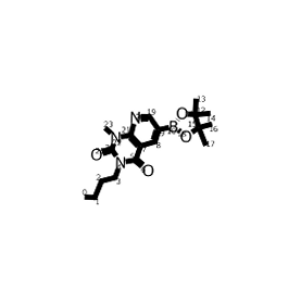 CCCCn1c(=O)c2cc(B3OC(C)(C)C(C)(C)O3)cnc2n(C)c1=O